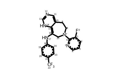 Fc1cccnc1N1CCC2=CN=CNC2=C(Nc2ccc(C(F)(F)F)cc2)C1